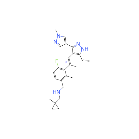 C=Cc1[nH]nc(-c2cnn(C)c2)c1/C=C(\C)c1c(F)ccc(CNCC2(C)CC2)c1C